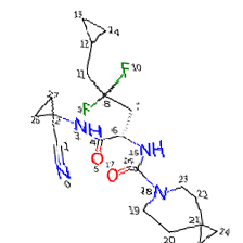 N#CC1(NC(=O)[C@H](CC(F)(F)CC2CC2)NC(=O)N2CCC3(CC2)CC3)CC1